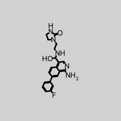 Nc1ncc(C(O)NCCN2CCNC2=O)c2ccc(-c3cccc(F)c3)cc12